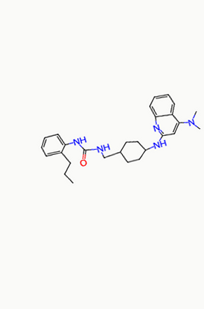 CCCc1ccccc1NC(=O)NCC1CCC(Nc2cc(N(C)C)c3ccccc3n2)CC1